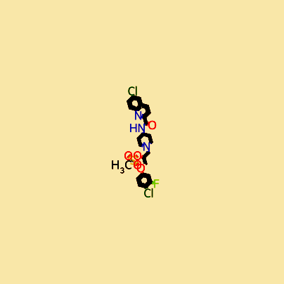 CS(=O)(=O)OC(COc1ccc(Cl)c(F)c1)CN1CCC(NC(=O)c2ccc3cc(Cl)ccc3n2)CC1